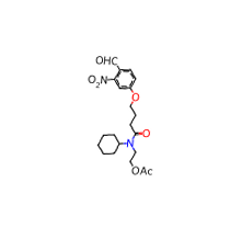 CC(=O)OCCN(C(=O)CCCOc1ccc(C=O)c([N+](=O)[O-])c1)C1CCCCC1